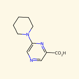 O=C(O)c1cncc(N2CCCCC2)n1